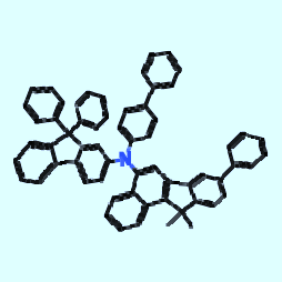 CC1(C)c2ccc(-c3ccccc3)cc2-c2cc(N(c3ccc(-c4ccccc4)cc3)c3ccc4c(c3)C(c3ccccc3)(c3ccccc3)c3ccccc3-4)c3ccccc3c21